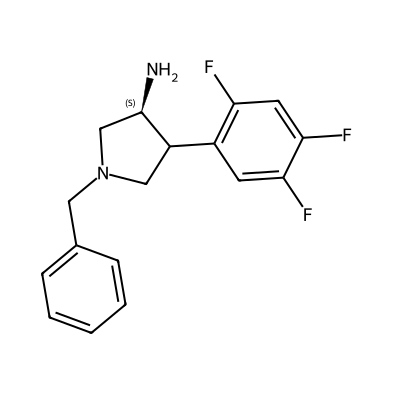 N[C@@H]1CN(Cc2ccccc2)CC1c1cc(F)c(F)cc1F